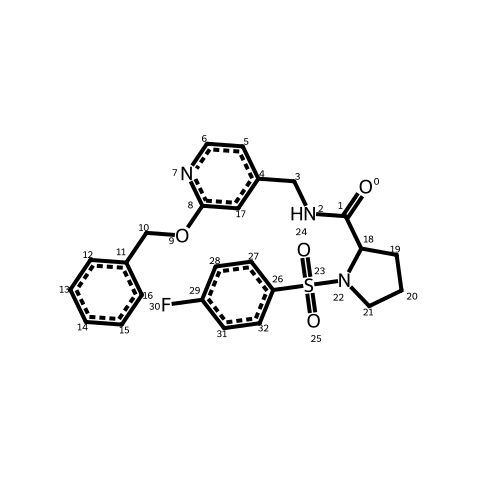 O=C(NCc1ccnc(OCc2ccccc2)c1)C1CCCN1S(=O)(=O)c1ccc(F)cc1